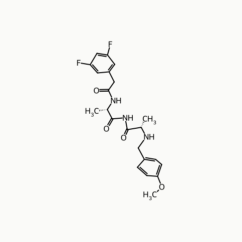 COc1ccc(CN[C@@H](C)C(=O)NC(=O)[C@H](C)NC(=O)Cc2cc(F)cc(F)c2)cc1